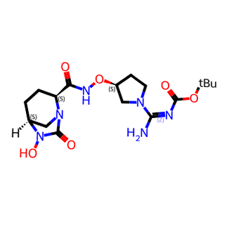 CC(C)(C)OC(=O)/N=C(/N)N1CC[C@H](ONC(=O)[C@@H]2CC[C@H]3CN2C(=O)N3O)C1